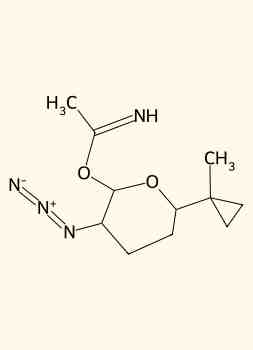 CC(=N)OC1OC(C2(C)CC2)CCC1N=[N+]=[N-]